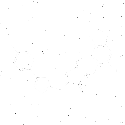 O=C1S/C(=C\c2ccc(-c3ccc(Cl)cc3)s2)C(=O)N1Cc1cc2c(cc1Cl)OCO2